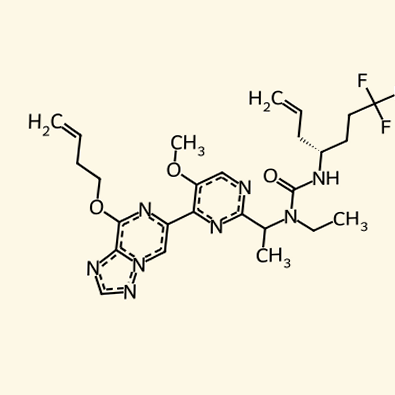 C=CCCOc1nc(-c2nc(C(C)N(CC)C(=O)N[C@H](CC=C)CCC(F)(F)F)ncc2OC)cn2ncnc12